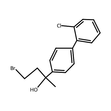 CC(O)(CCBr)c1ccc(-c2ccccc2Cl)cc1